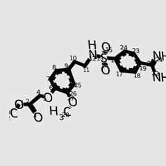 COC(=O)COc1ccc(CCNS(=O)(=O)c2ccc(C(=N)N)cc2)cc1OC